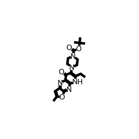 CCc1[nH]c2nc3oc(C)cc3nc2c(=O)c1N1CCN(C(=O)OC(C)(C)C)CC1